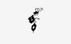 CC1(C)[C@@H](NCc2ccc3ccc(O[C@H]4CC[C@@H](C)CC4)c(C#N)c3c2)C[C@H]1C(=O)O